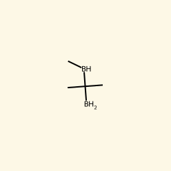 BC(C)(C)BC